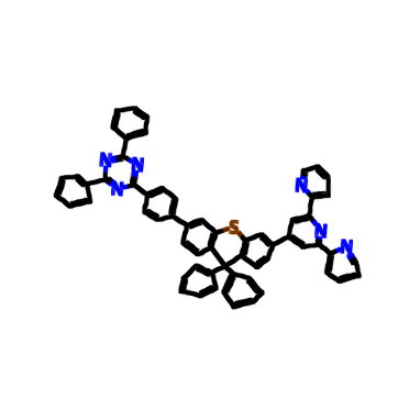 c1ccc(-c2nc(-c3ccccc3)nc(-c3ccc(-c4ccc5c(c4)Sc4cc(-c6cc(-c7ccccn7)nc(-c7ccccn7)c6)ccc4C5(c4ccccc4)c4ccccc4)cc3)n2)cc1